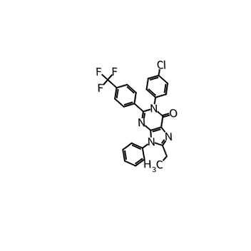 CCc1nc2c(=O)n(-c3ccc(Cl)cc3)c(-c3ccc(C(F)(F)F)cc3)nc2n1-c1ccccc1